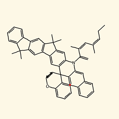 C=C(/C(C)=C\C(C)=C/CC)N1c2cc3c(cc2C2(c4ccccc4Oc4ccccc42)c2cc4ccccc4cc21)-c1cc2c(cc1C3(C)C)-c1ccccc1C2(C)C